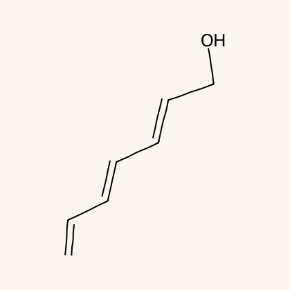 C=CC=CC=CCO